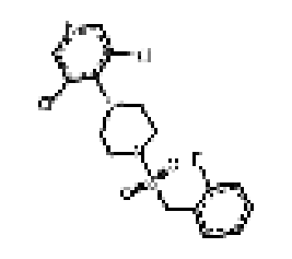 O=S(=O)(Cc1ccccc1F)N1CCN(c2c(Cl)cncc2Cl)CC1